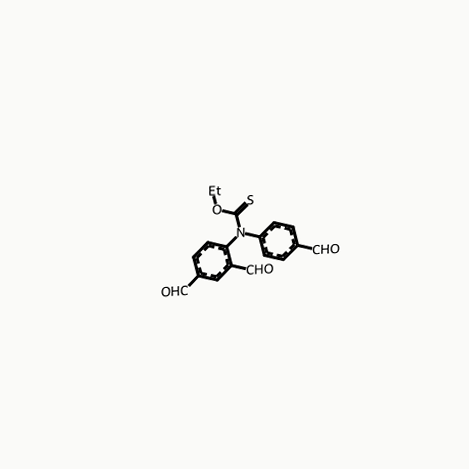 CCOC(=S)N(c1ccc(C=O)cc1)c1ccc(C=O)cc1C=O